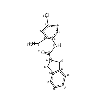 NCc1cc(Cl)ccc1NC(=O)N1Cc2ccccc2C1